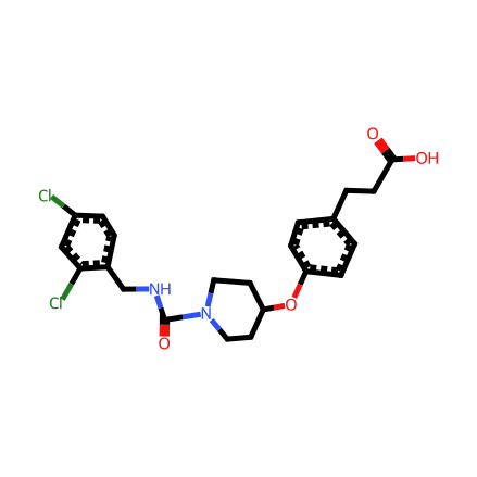 O=C(O)CCc1ccc(OC2CCN(C(=O)NCc3ccc(Cl)cc3Cl)CC2)cc1